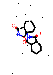 O=C1[N]C(=O)C2(N3C(=O)C4CCCCC4C3=O)CCCCC12